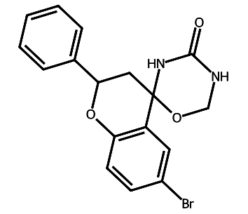 O=C1NCOC2(CC(c3ccccc3)Oc3ccc(Br)cc32)N1